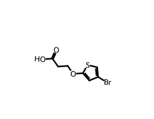 O=C(O)CCOc1cc(Br)cs1